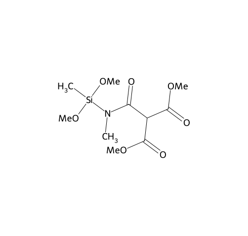 COC(=O)C(C(=O)OC)C(=O)N(C)[Si](C)(OC)OC